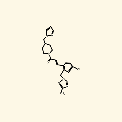 Cc1nnn(Cc2cc(Cl)ccc2/C=C/C(=O)N2CCC(Cn3cccn3)CC2)n1